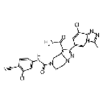 Cc1nnc2c(Cl)cc(-c3nn4c(c3C(N)=O)CN(C(=O)Nc3ccc(C#N)c(Cl)c3)CC4)cn12